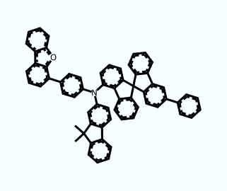 CC1(C)c2ccccc2-c2ccc(N(c3ccc(-c4cccc5c4oc4ccccc45)cc3)c3cccc4c3-c3ccccc3C43c4ccccc4-c4cc(-c5ccccc5)ccc43)cc21